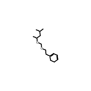 CC(C)CC(C)OCOCCC1=CC=CCC1